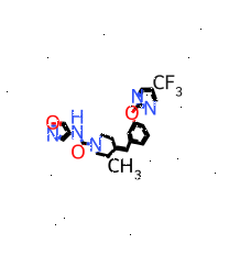 CC1CN(C(=O)Nc2cnoc2)CCC1=Cc1cccc(Oc2ncc(C(F)(F)F)cn2)c1